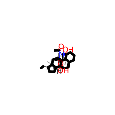 CC[C@H]1CC[C@@H]2[C@]1(C)CC[C@H]1[C@@]2(O)CC=C2CCCC(O)(N(C(C)=O)C(C)=O)[C@@]21C